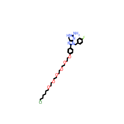 NC1=Nc2c(nc(-c3ccc(OCCOCCOCCOCCOCCOCCCCCCCl)cc3)n2Cc2ccc(F)cc2)CN1